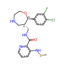 CSNc1cccnc1C(=O)NC[C@@H]1CNCCO[C@H]1c1ccc(Cl)c(F)c1